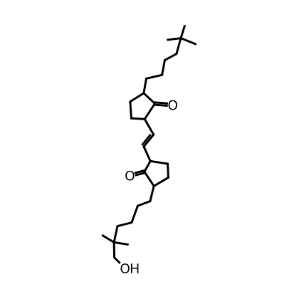 CC(C)(C)CCCCC1CCC(C=CC2CCC(CCCCC(C)(C)CO)C2=O)C1=O